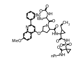 C=CC1CC1(NC(=O)C1CC(Oc2cc(-c3ccccc3)nc3cc(OC)ccc23)CN1C(=O)C(NC(=O)OC(C)(C)C)C(C)(C)C)C(=O)NS(=O)(=O)C1(C(=O)NCCC)CC1